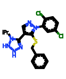 CC(C)N1NNN=C1c1cnn(-c2cc(Cl)ccc2Cl)c1SCc1ccccc1